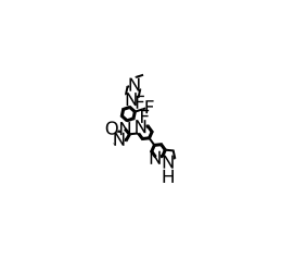 CCN1CCN(c2ccc(-n3c(-c4cc(-c5cnc6c(c5)CCN6)ccn4)cn(C)c3=O)cc2C(F)(F)F)CC1